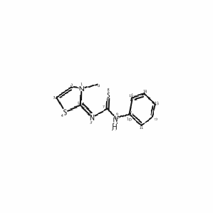 Cn1ccs/c1=N/C(=S)Nc1ccccc1